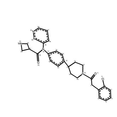 O=C(Cc1ccccc1Cl)N1CCC(c2ccc(N(C(=O)C3CNC3)c3cccnn3)cc2)CC1